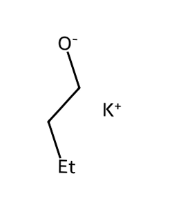 CCCC[O-].[K+]